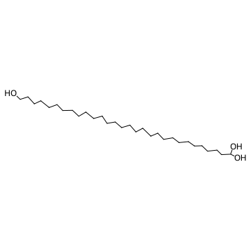 OCCCCCCCCCCCCCCCCCCCCCCCCCCCCCC(O)O